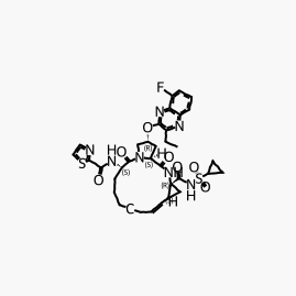 CCc1nc2cccc(F)c2nc1O[C@@H]1C[C@H]2C(=O)N[C@]3(C(=O)NS(=O)(=O)C4CC4)C[C@H]3C=CCCCCC[C@H](NC(=O)c3nccs3)C(=O)N2C1